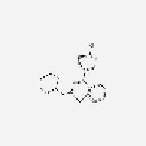 Clc1ccc(C2=NN(CC3CCCCO3)Cc3ccccc32)cc1